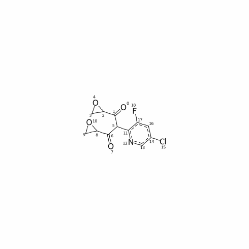 O=C(C1CO1)C(C(=O)C1CO1)c1ncc(Cl)cc1F